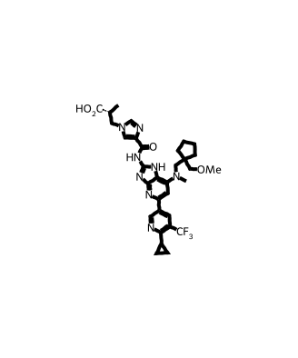 COCC1(CN(C)c2cc(-c3cnc(C4CC4)c(C(F)(F)F)c3)nc3nc(NC(=O)c4cn(C[C@@H](C)C(=O)O)cn4)[nH]c23)CCCC1